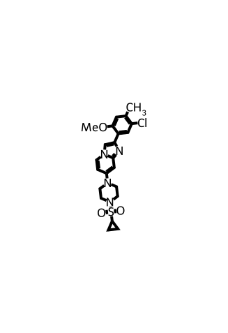 COc1cc(C)c(Cl)cc1-c1cn2ccc(N3CCN(S(=O)(=O)C4CC4)CC3)cc2n1